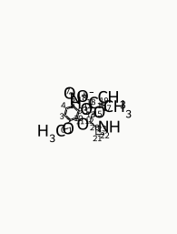 COc1ccc([N+](=O)[O-])cc1OC(C(=O)OC(C)(C)C)C1CCN1